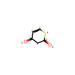 O=C1C=CSC(=O)C1